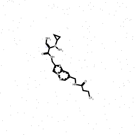 N/C=C(/C(=O)NCc1cn2ncc(CNC(=O)CCC(F)(F)F)cc2n1)N(N)C1CC1